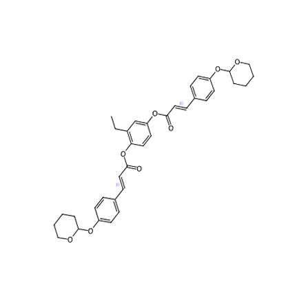 CCc1cc(OC(=O)/C=C/c2ccc(OC3CCCCO3)cc2)ccc1OC(=O)/C=C/c1ccc(OC2CCCCO2)cc1